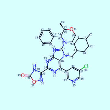 CC1CCC(Cn2c(N3CCO[C@H](C)[C@H]3c3ccccc3)nc3nc(-c4noc(=O)[nH]4)nc(-c4cncc(Cl)c4)c32)CC1